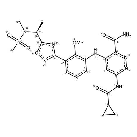 COc1c(Nc2cc(NC(=O)C3CC3)nnc2C(N)=O)cccc1-c1noc([C@H](C)N(C)S(C)(=O)=O)n1